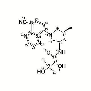 C[C@H]1C[C@@H](NC(=O)[C@H](O)C(C)(C)O)CN(c2ccc(C#N)c3nccnc23)C1